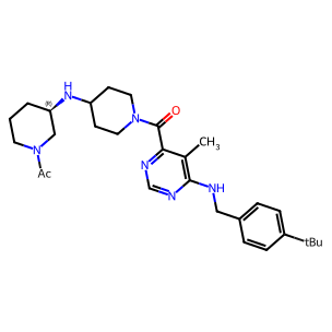 CC(=O)N1CCC[C@@H](NC2CCN(C(=O)c3ncnc(NCc4ccc(C(C)(C)C)cc4)c3C)CC2)C1